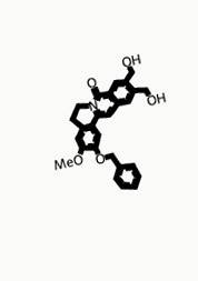 COc1cc2c(cc1OCc1ccccc1)-c1cc3cc(CO)c(CO)cc3c(=O)n1CC2